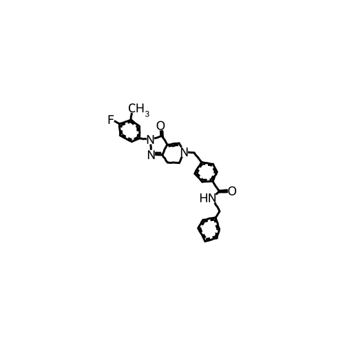 Cc1cc(N2N=C3CCN(Cc4ccc(C(=O)NCc5ccccc5)cc4)C=C3C2=O)ccc1F